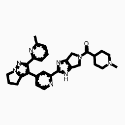 Cc1cccc(-c2nn3c(c2-c2ccnc(-c4nc5c([nH]4)CN(C(=O)C4CCN(C)CC4)C5)c2)CCC3)n1